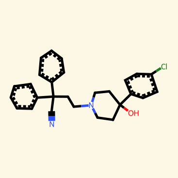 N#CC(CCN1CCC(O)(c2ccc(Cl)cc2)CC1)(c1ccccc1)c1ccccc1